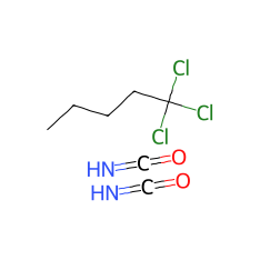 CCCCC(Cl)(Cl)Cl.N=C=O.N=C=O